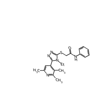 CCn1c(SCC(=O)Nc2ccccc2)nnc1-c1cc(C)nc(C)c1C